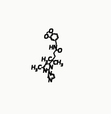 Cc1cc(C(C)(C)CCC(=O)NCc2ccc3c(c2)OCO3)nc(-n2ccnc2)n1